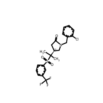 CC(C)([C@H]1CC(=O)N(Cc2ccccc2Cl)C1)S(=O)(=O)c1cccc(C(F)(F)F)c1